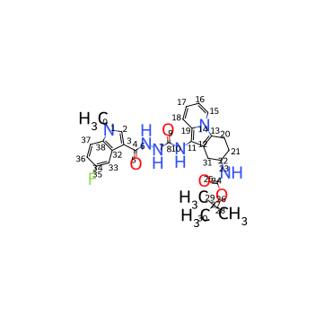 Cn1cc(C(=O)NNC(=O)Nc2c3c(n4ccccc24)CCC(NC(=O)OC(C)(C)C)C3)c2cc(F)ccc21